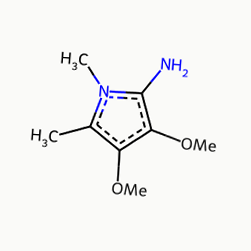 COc1c(OC)c(N)n(C)c1C